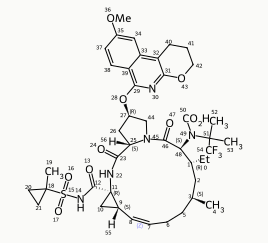 CC[C@@H]1C[C@@H](C)CC/C=C\[C@@H]2C[C@@]2(C(=O)NS(=O)(=O)C2(C)CC2)NC(=O)[C@@H]2C[C@@H](Oc3nc4c(c5cc(OC)ccc35)CCCO4)CN2C(=O)[C@H]1N(C(=O)O)C(C)(C)C(F)(F)F